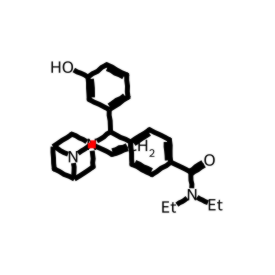 C=CCN1C2CC1CN(C(c1ccc(C(=O)N(CC)CC)cc1)c1cccc(O)c1)C2